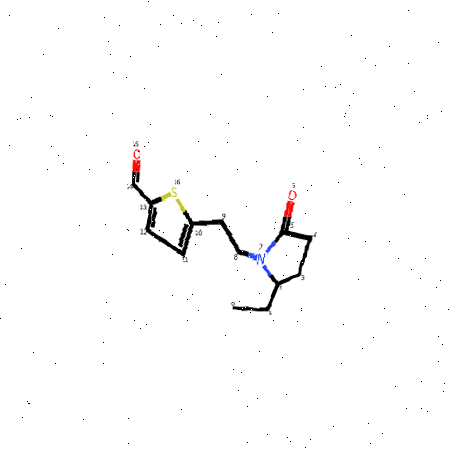 CCC1CCC(=O)N1CCc1ccc(C=O)s1